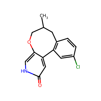 CC1COc2c[nH]c(=O)cc2-c2cc(Cl)ccc2C1